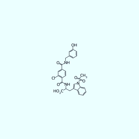 CS(=O)(=O)n1cc(CC(NC(=O)c2ccc(C(=O)NCc3cccc(O)c3)cc2Cl)C(=O)O)c2ccccc21